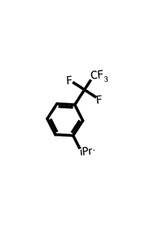 C[C](C)c1cccc(C(F)(F)C(F)(F)F)c1